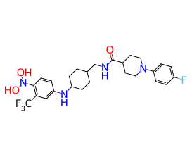 O=C(NCC1CCC(Nc2ccc(N(O)O)c(C(F)(F)F)c2)CC1)C1CCN(c2ccc(F)cc2)CC1